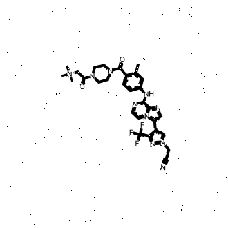 Cc1cc(Nc2nccn3c(-c4cn(CC#N)nc4C(F)(F)F)cnc23)ccc1C(=O)N1CCN(C(=O)C[N+](C)(C)C)CC1